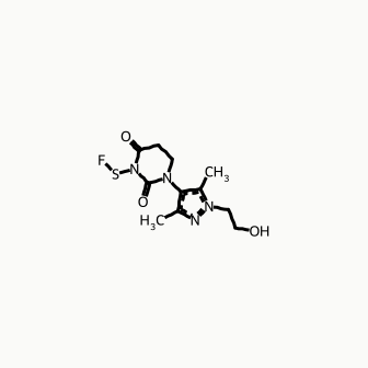 Cc1nn(CCO)c(C)c1N1CCC(=O)N(SF)C1=O